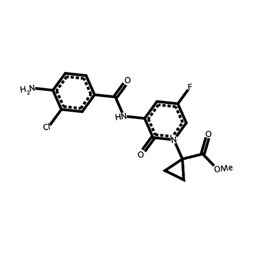 COC(=O)C1(n2cc(F)cc(NC(=O)c3ccc(N)c(Cl)c3)c2=O)CC1